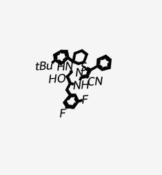 CC(C)(C)c1cccc(C2(NCC(O)C(Cc3cc(F)cc(F)c3)Nc3nsc(-c4ccccc4)c3C#N)CCCCC2)c1